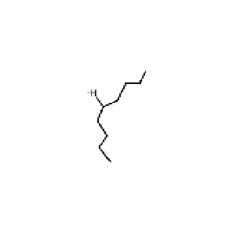 [3H]C([CH]CCC)CCCC